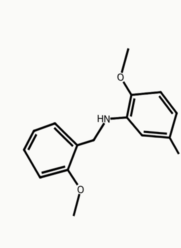 COc1ccccc1CNc1cc(C)ccc1OC